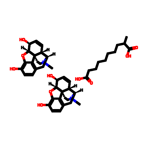 CC(CCCCCCCC(=O)O)C(=O)O.CN1CC[C@]23c4c5ccc(O)c4O[C@H]2[C@@H](O)C=C[C@H]3[C@H]1C5.CN1CC[C@]23c4c5ccc(O)c4O[C@H]2[C@@H](O)C=C[C@H]3[C@H]1C5